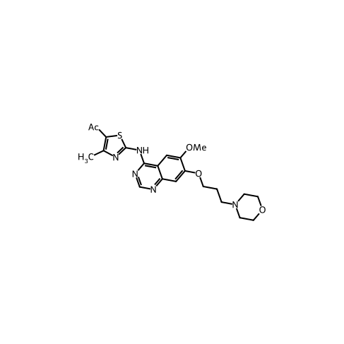 COc1cc2c(Nc3nc(C)c(C(C)=O)s3)ncnc2cc1OCCCN1CCOCC1